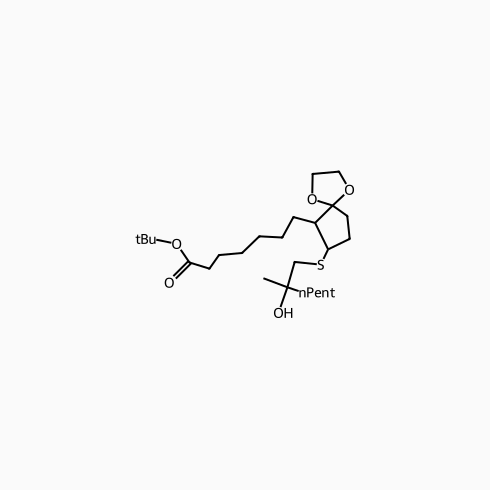 CCCCCC(C)(O)CSC1CCC2(OCCO2)C1CCCCCCC(=O)OC(C)(C)C